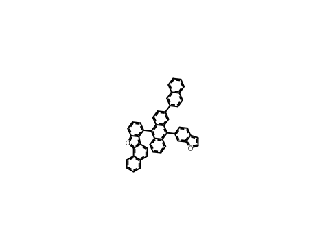 c1ccc2cc(-c3ccc4c(-c5cccc6oc7c8ccccc8ccc7c56)c5ccccc5c(-c5ccc6ccoc6c5)c4c3)ccc2c1